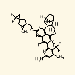 Cc1cc(N)nc(-c2c(Cl)c3c4c(nc(OC[C@@H]5CC6(CN5C)CC6(F)F)nc4c2F)N2C[C@H]4CC[C@H](N4)[C@H]2CO3)c1C(F)(F)F